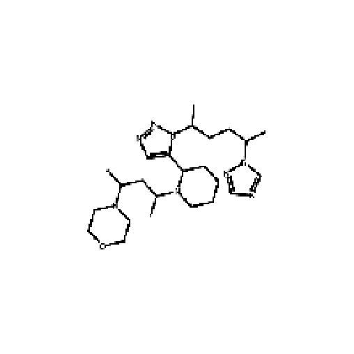 CC(CC(C)N1CCCCC1c1cnnn1C(C)CCC(C)n1cncn1)N1CCOCC1